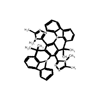 Cc1nnc(-c2c3c(c(-c4nnc(C)n4C)c4c2C(C)(C)c2cccc5c6ccccc6n-4c25)C(C)(C)c2cccc4c5ccccc5n-3c24)n1C